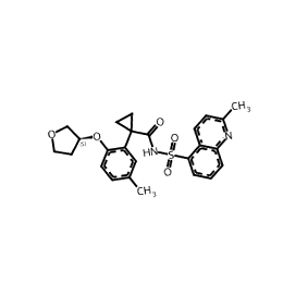 Cc1ccc(O[C@H]2CCOC2)c(C2(C(=O)NS(=O)(=O)c3cccc4nc(C)ccc34)CC2)c1